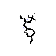 C=C/C=C(\C=C1/CC=C(C=C)C=N1)CC(F)(F)F